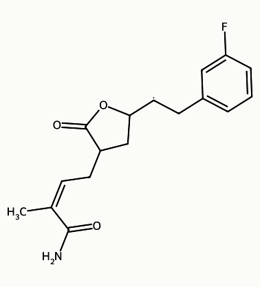 CC(=CCC1CC([CH]Cc2cccc(F)c2)OC1=O)C(N)=O